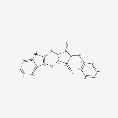 O=C1C2Cc3[nH]c4ccccc4c3CC2C(=O)N1Cc1ccccc1